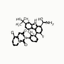 Cc1c(-c2c(F)cc(C(N)O)c3[nH]c4cc(C(C)(C)O)ccc4c23)cccc1-n1c(=O)cc2c(Cl)cccn2c1=O